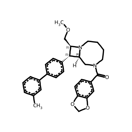 COC[C@@H]1[C@@H](c2ccc(-c3cccc(C)c3)cc2)[C@@H]2CN(C(=O)c3ccc4c(c3)OCO4)CCCCN12